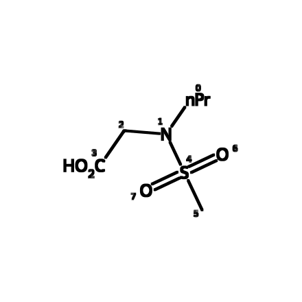 CCCN(CC(=O)O)S(C)(=O)=O